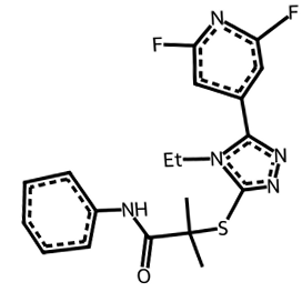 CCn1c(SC(C)(C)C(=O)Nc2ccccc2)nnc1-c1cc(F)nc(F)c1